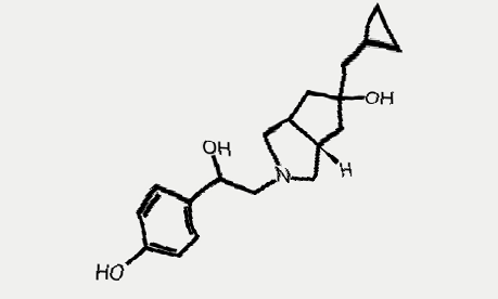 Oc1ccc(C(O)CN2CC3CC(O)(CC4CC4)C[C@@H]3C2)cc1